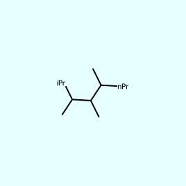 [CH2]C(C)C(C)C(C)C(C)CCC